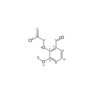 C=C(Cl)COc1c(C=O)cccc1OC